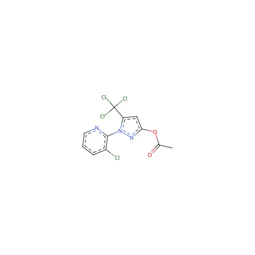 CC(=O)Oc1cc(C(Cl)(Cl)Cl)n(-c2ncccc2Cl)n1